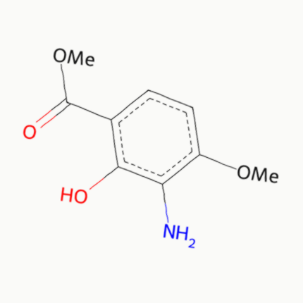 COC(=O)c1ccc(OC)c(N)c1O